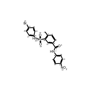 Cc1ccc(C(=O)Nc2ccc([N+](=O)[O-])cc2)cc1S(=O)(=O)Nc1ccc(Br)cc1